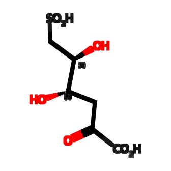 O=C(O)C(=O)C[C@H](O)[C@H](O)CS(=O)(=O)O